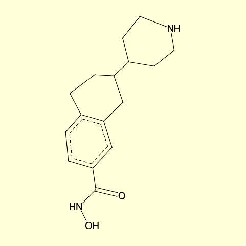 O=C(NO)c1ccc2c(c1)CC(C1CCNCC1)CC2